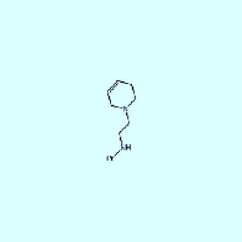 CC(C)NCCN1CC=CCC1